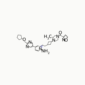 CC1CN(C(=O)c2ccon2)CCN1C1CC(C/C=C2/C=C(c3cnc(COC4CCCC4)nc3)C=CN2N)C1